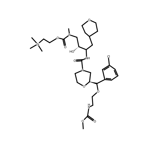 COC(=O)NCCOC(c1cccc(Cl)c1)[C@@H]1CN(C(=O)NC(CC2CCOCC2)[C@H](O)CN(C)C(=O)OCC[Si](C)(C)C)CCO1